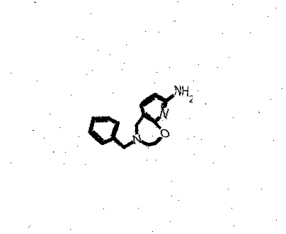 Nc1ccc2c(n1)OCCN(Cc1ccccc1)C2